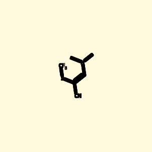 CN(C)C=C(C#N)SC(F)(F)F